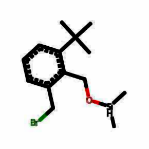 C[SiH](C)OCc1c(CBr)cccc1C(C)(C)C